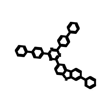 c1ccc(-c2ccc(-c3nc(-c4ccc(-c5ccccc5)cc4)nc(-c4ccc5sc6cc(-c7ccccc7)ccc6c5c4)n3)cc2)cc1